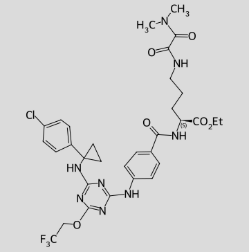 CCOC(=O)[C@H](CCCNC(=O)C(=O)N(C)C)NC(=O)c1ccc(Nc2nc(NC3(c4ccc(Cl)cc4)CC3)nc(OCC(F)(F)F)n2)cc1